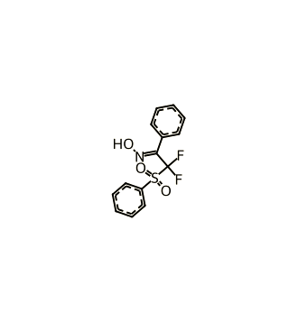 O=S(=O)(c1ccccc1)C(F)(F)C(=NO)c1ccccc1